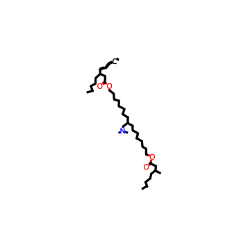 C=C=C=C=CC(CCCCC)CC(=O)OCCCCCCCCC(CCCCCCCCOC(=O)CC(C)CCCCC)CN(C)C